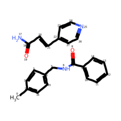 Cc1ccc(CNC(=O)c2ccccc2)cc1.NC(=O)/C=C/c1ccncc1